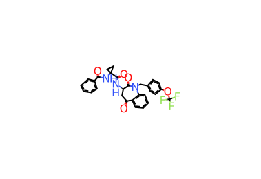 O=C(NC1(C(=O)N[C@@H]2CC(=O)c3ccccc3N(Cc3ccc(OC(F)(F)F)cc3)C2=O)CC1)c1ccccc1